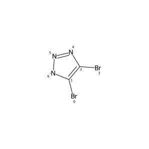 BrC1=C(Br)N=N[N]1